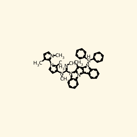 C/N=C(/N(C)c1ccn(-c2c(C)ccn2C)c1C)n1c2ccccc2n2c3c4ccccc4n([SiH](c4ccccc4)c4ccccc4)c3c(C)c12